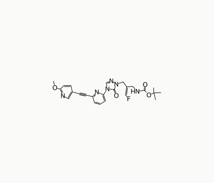 COc1ccc(C#Cc2cccc(-n3cnn(CC(=CF)CNC(=O)OC(C)(C)C)c3=O)n2)cn1